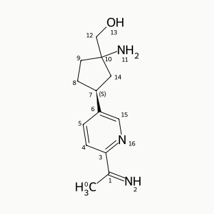 CC(=N)c1ccc([C@H]2CCC(N)(CO)C2)cn1